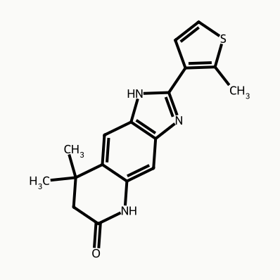 Cc1sccc1-c1nc2cc3c(cc2[nH]1)C(C)(C)CC(=O)N3